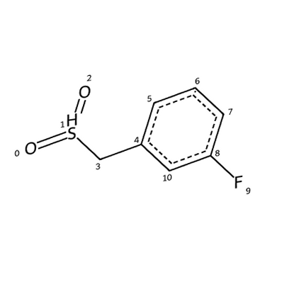 O=[SH](=O)Cc1c[c]cc(F)c1